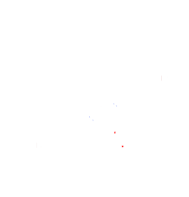 Brc1cc2c(c3ccccc13)-c1cccc3c1B(N2c1ccccc1)N(c1ccccc1)c1cc(Br)c2ccccc2c1-3